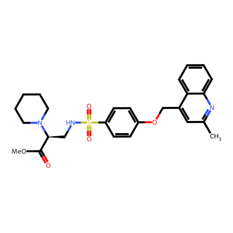 COC(=O)[C@H](CNS(=O)(=O)c1ccc(OCc2cc(C)nc3ccccc23)cc1)N1CCCCC1